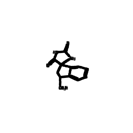 O=C1NC(=O)C2(CC(C(=O)O)c3ccccc32)N1